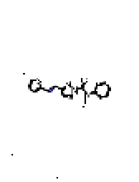 O=C(Nc1ccccc1)n1ccc(/C=C/c2cccs2)n1